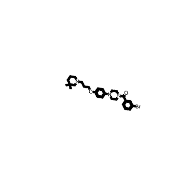 CC1(C)CCCN(CCCOc2ccc(N3CCN(C(=O)c4cccc(Br)c4)CC3)cc2)C1